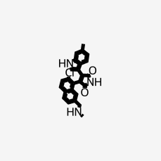 CNCc1ccc2ccc(Cl)c(C3=C(c4c[nH]c5cc(C)ccc45)C(=O)NC3=O)c2c1